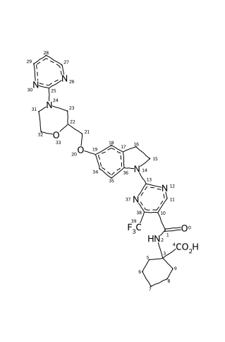 O=C(NC1(C(=O)O)CCCCC1)c1cnc(N2CCc3cc(OCC4CN(c5ncccn5)CCO4)ccc32)nc1C(F)(F)F